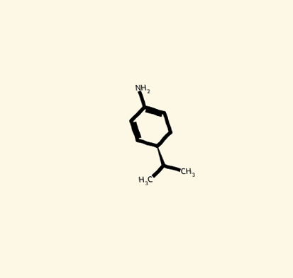 CC(C)[C@H]1C=CC(N)=CC1